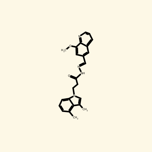 COc1cc(/C=N/NC(=O)CCn2cc(C)c3c(C)cccc32)cc2cccnc12